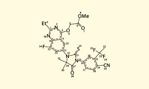 CCc1nc(OCC(=O)OC)c2cc(N3C(=S)N(c4ccc(C#N)c(C(C)(F)F)c4)C(=O)C3(C)C)cc(F)c2n1